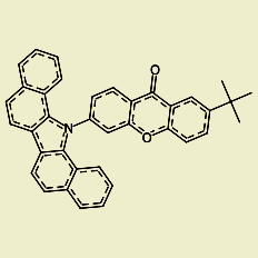 CC(C)(C)c1ccc2oc3cc(-n4c5c6ccccc6ccc5c5ccc6ccccc6c54)ccc3c(=O)c2c1